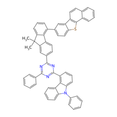 CC1(C)c2cc(-c3nc(-c4ccccc4)nc(-c4cccc5c4c4ccccc4n5-c4ccccc4)n3)ccc2-c2c(-c3ccc4sc5c6ccccc6ccc5c4c3)cccc21